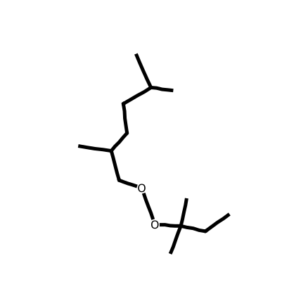 CCC(C)(C)OOCC(C)CCC(C)C